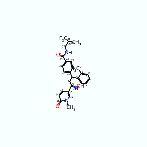 Cc1ccccc1C(C/C(=N\O)c1ccc(=O)n(C)c1)c1ccc(C(=O)NCC(C)C(F)(F)F)cc1